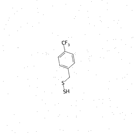 FC(F)(F)c1ccc(CSS)cc1